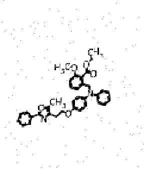 CCOC(=O)c1c(CN(c2ccccc2)c2ccc(OCCc3nc(-c4ccccc4)oc3C)cc2)cccc1OC